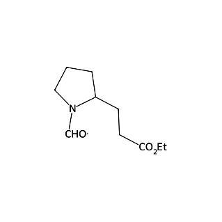 CCOC(=O)CCC1CCCN1[C]=O